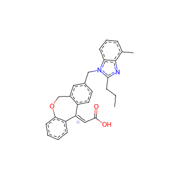 CCCc1nc2c(C)cccc2n1Cc1ccc2c(c1)COc1ccccc1/C2=C/C(=O)O